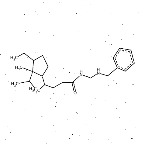 CCC1CCC(C(C)CCC(=O)NCNCc2ccccc2)C1(C)C(C)C